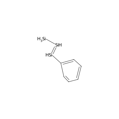 [SiH3][SiH]=[SiH]c1ccccc1